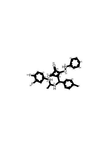 Cc1ccc(C(NC(C)Nc2ccc(F)c(F)c2)c2c(ONc3ccccc3)c(=O)c2=O)cc1